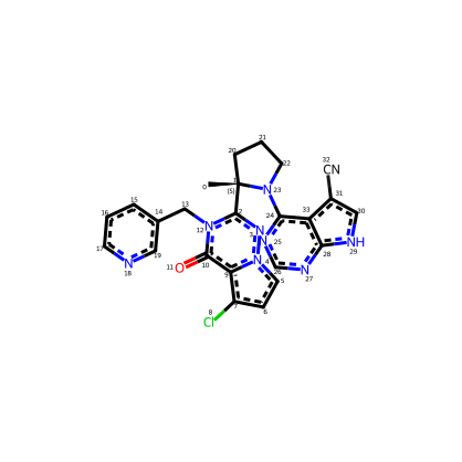 C[C@@]1(c2nn3ccc(Cl)c3c(=O)n2Cc2cccnc2)CCCN1c1ncnc2[nH]cc(C#N)c12